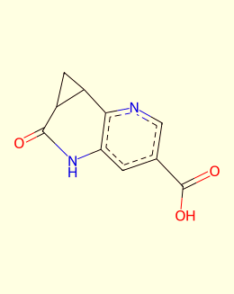 O=C(O)c1cnc2c(c1)NC(=O)C1CC21